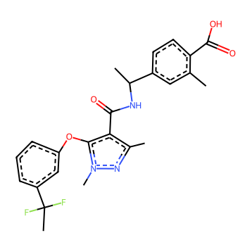 Cc1cc(C(C)NC(=O)c2c(C)nn(C)c2Oc2cccc(C(C)(F)F)c2)ccc1C(=O)O